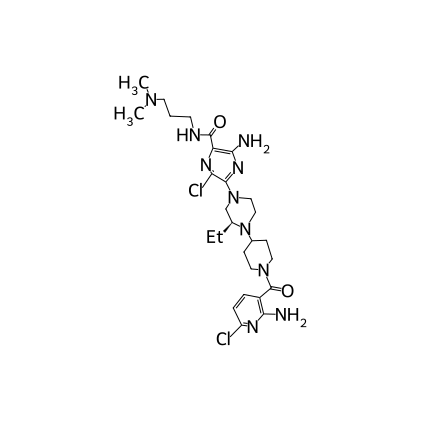 CC[C@H]1CN(c2nc(N)c(C(=O)NCCCN(C)C)nc2Cl)CCN1C1CCN(C(=O)c2ccc(Cl)nc2N)CC1